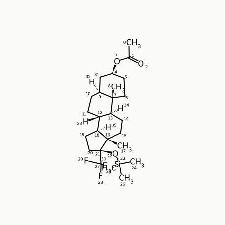 CC(=O)O[C@H]1CC[C@@]2(C)[C@@H](CC[C@@H]3[C@@H]2CC[C@@]2(C)[C@H]3CC[C@@]2(O[Si](C)(C)C)C(F)(F)F)C1